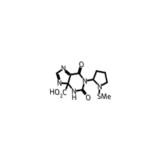 CSN1CCCC1N1C(=O)NC2(C(=O)O)N=CN=C2C1=O